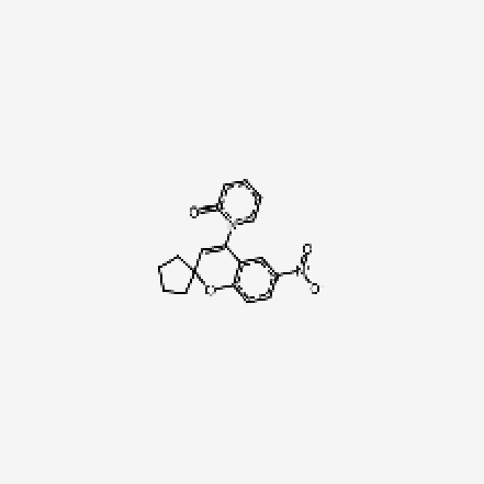 O=c1ccccn1C1=CC2(CCCC2)Oc2ccc([N+](=O)[O-])cc21